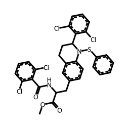 COC(=O)C(Cc1ccc2c(c1)CCC(c1c(Cl)cccc1Cl)N2Sc1ccccc1)NC(=O)c1c(Cl)cccc1Cl